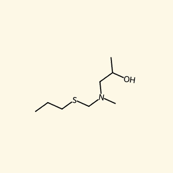 CCCSCN(C)CC(C)O